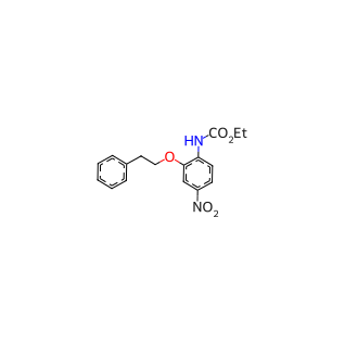 CCOC(=O)Nc1ccc([N+](=O)[O-])cc1OCCc1ccccc1